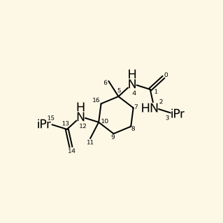 C=C(NC(C)C)NC1(C)CCCC(C)(NC(=C)C(C)C)C1